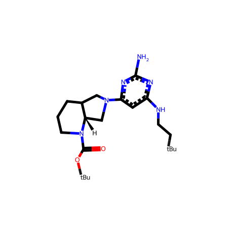 CC(C)(C)CCNc1cc(N2CC3CCCN(C(=O)OC(C)(C)C)[C@H]3C2)nc(N)n1